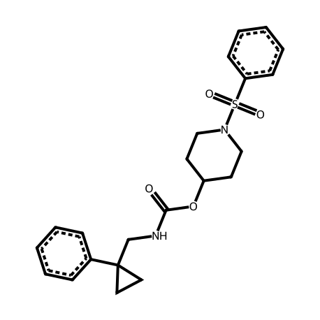 O=C(NCC1(c2ccccc2)CC1)OC1CCN(S(=O)(=O)c2ccccc2)CC1